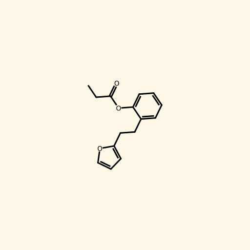 CCC(=O)Oc1ccccc1CCc1ccco1